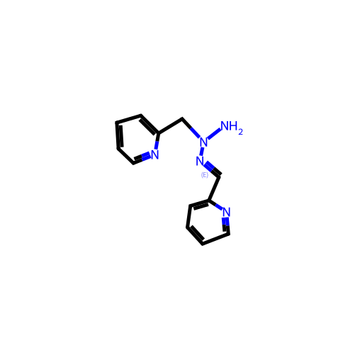 NN(Cc1ccccn1)/N=C/c1ccccn1